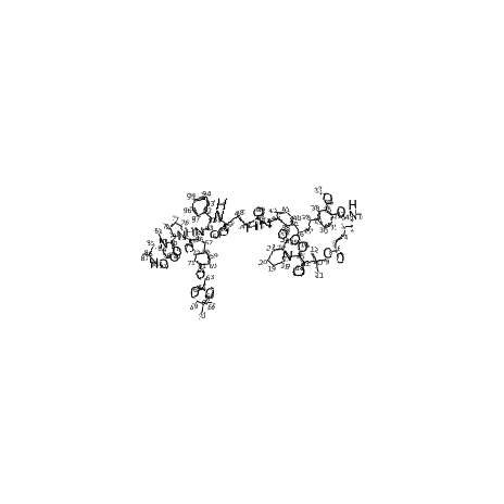 CNCC/C=C/C(=O)OCC(C)(C)C(=O)C(=O)N1CCCC[C@H]1C(=O)O[C@H](CCc1ccc(OC)c(OC)c1)c1cccc(NC(=O)CCC(=O)N[C@H](C(=O)N[C@@H](Cc2ccc(OCC(=O)OC(C)(C)C)cc2)C(=O)N2CCC[C@@H]2C(=O)N(C)[C@@H](CC(C)C)C(=O)O)c2ccccc2)c1